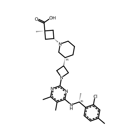 Cc1ccc([C@@H](C)Nc2nc(N3CC([C@H]4CCCN([C@H]5C[C@](C)(C(=O)O)C5)C4)C3)nc(C)c2C)c(Cl)c1